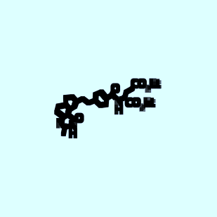 CCOC(=O)CC[C@H](NC(=O)c1ccc(CCc2ccc3ccc4nc(C)[nH]c(=O)c4c3c2)cc1)C(=O)OCC